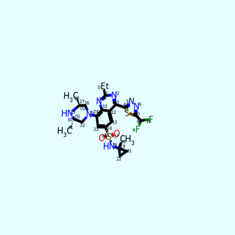 CCc1nc(-c2nnc(C(F)F)s2)c2cc(S(=O)(=O)NC3(C)CC3)cc(N3C[C@H](C)N[C@@H](C)C3)c2n1